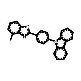 Cc1cccc2oc(-c3ccc(-n4c5ccccc5c5ccccc54)cc3)nc12